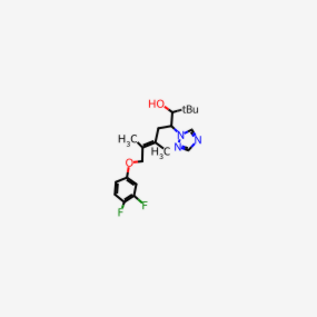 C/C(COc1ccc(F)c(F)c1)=C(/C)CC(C(O)C(C)(C)C)n1cncn1